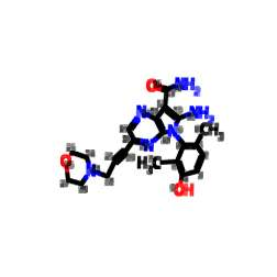 Cc1ccc(O)c(C)c1-n1c(N)c(C(N)=O)c2ncc(C#CCN3CCOCC3)nc21